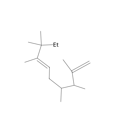 C=C(C)C(C)C(C)CC=C(C)C(C)(C)CC